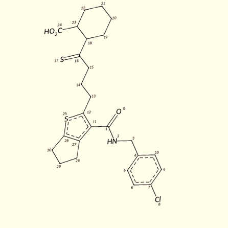 O=C(NCc1ccc(Cl)cc1)c1c(CCCC(=S)C2CCCCC2C(=O)O)sc2c1CCC2